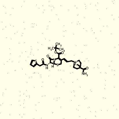 CC(C)(C)OC(=O)C1=C(C=CC[N+]23CCC(C(N)=O)(CC2)CC3)CS[C@H]2[C@H](NC(=O)Cc3cccs3)C(=O)N12